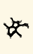 Cc1ccc(C)c2c1c(N)nn2C